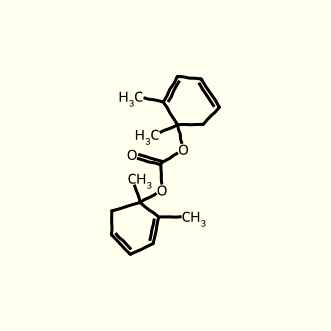 CC1=CC=CCC1(C)OC(=O)OC1(C)CC=CC=C1C